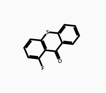 O=c1c2ccccc2sc2[c]ccc(F)c12